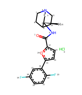 Cl.O=C(N[C@H]1CN2CCC1CC2)c1ccc(-c2cc(F)ccc2F)o1